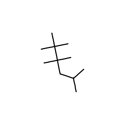 C[C](C)CC(C)(C)C(C)(C)C